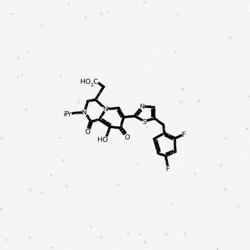 CC(C)N1CC(CC(=O)O)n2cc(-c3ncc(Cc4ccc(F)cc4F)s3)c(=O)c(O)c2C1=O